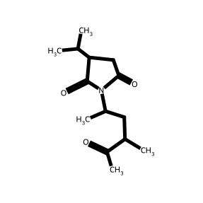 CC(=O)C(C)CC(C)N1C(=O)CC(C(C)C)C1=O